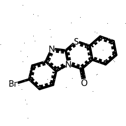 O=c1c2ccccc2sc2nc3cc(Br)ccc3n12